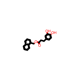 O=C(CCc1ccc(O)c(O)c1)OCc1cccc2ccccc12